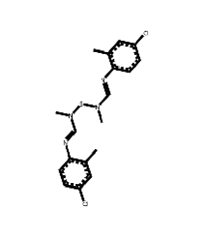 Cc1cc(Cl)ccc1N=CN(C)SN(C)C=Nc1ccc(Cl)cc1C